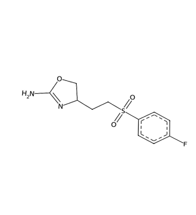 NC1=NC(CCS(=O)(=O)c2ccc(F)cc2)CO1